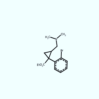 CCOC(=O)C1(c2ccccc2Br)CC1CN(C)C